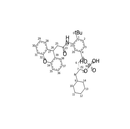 CC(C)(C)c1ccc(CC[C@@H](CC2CCCCC2)OP(=O)(O)O)cc1NC(=O)CC1c2ccccc2Oc2ccccc21